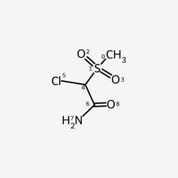 CS(=O)(=O)C(Cl)C(N)=O